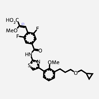 CO/C(=C\c1c(F)cc(C(=O)Nc2nc(-c3cccc(CCCOCC4CC4)c3OC)cs2)cc1F)C(=O)O